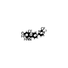 O=C1CC(O)(C(F)(F)F)c2c(C3CCN(c4ccnc(C(F)(F)F)n4)CC3)n[nH]c2N1